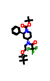 CC(C)(C)OC(=O)N1CC[C@H](N(CCO[Si](C)(C)C(C)(C)C)C(=O)C(F)(F)F)C[C@H]1c1ccccc1